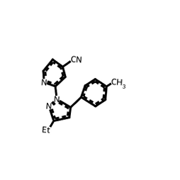 CCc1cc(-c2ccc(C)cc2)n(-c2cc(C#N)ccn2)n1